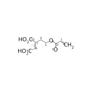 C=CC(=O)OCC/C(=C/C(=O)O)C(=O)O